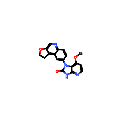 CCOc1ccnc2[nH]c(=O)n(-c3ccc4ncc5c(c4c3)CCO5)c12